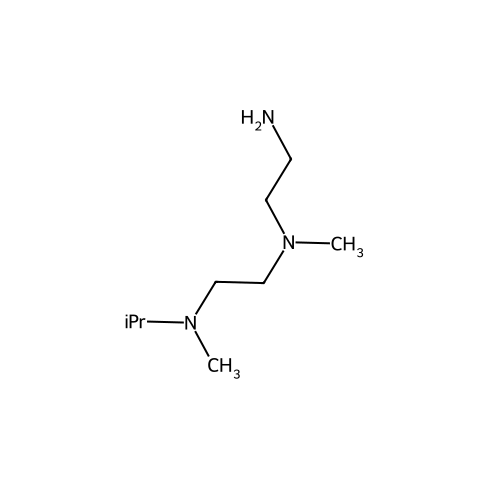 CC(C)N(C)CCN(C)CCN